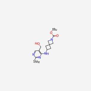 CSc1ncc(CO)c(NC2CC3(C2)CN(C(=O)OC(C)(C)C)C3)n1